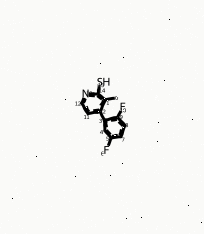 Cc1c(-c2cc(F)ccc2F)ccnc1S